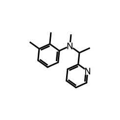 Cc1cccc(N(C)C(C)c2ccccn2)c1C